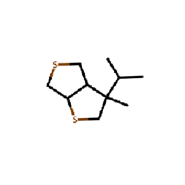 CC(C)C1(C)CSC2CSCC21